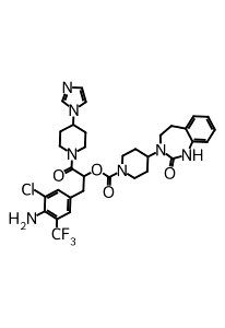 Nc1c(Cl)cc(CC(OC(=O)N2CCC(N3CCc4ccccc4NC3=O)CC2)C(=O)N2CCC(n3ccnc3)CC2)cc1C(F)(F)F